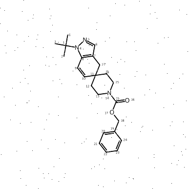 CC(C)(C)n1ncc2c1C=CC1(CCN(C(=O)OCc3ccccc3)CC1)C2